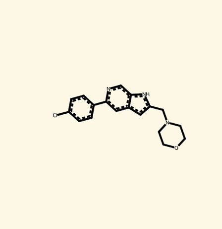 Clc1ccc(-c2cc3cc(CN4CCOCC4)[nH]c3cn2)cc1